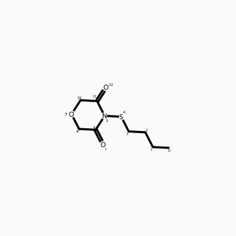 CCCCSN1C(=O)COCC1=O